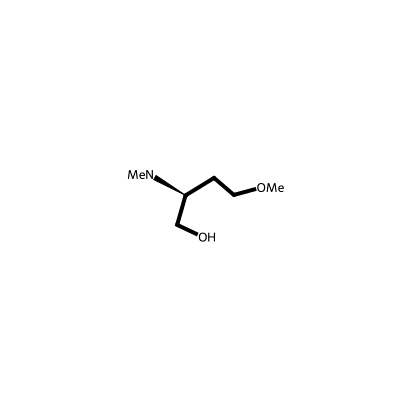 CN[C@H](CO)CCOC